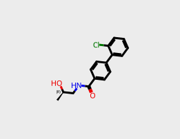 C[C@@H](O)CNC(=O)c1ccc(-c2ccccc2Cl)cc1